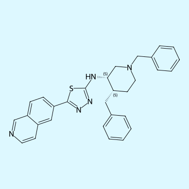 c1ccc(C[C@H]2CCN(Cc3ccccc3)C[C@H]2Nc2nnc(-c3ccc4cnccc4c3)s2)cc1